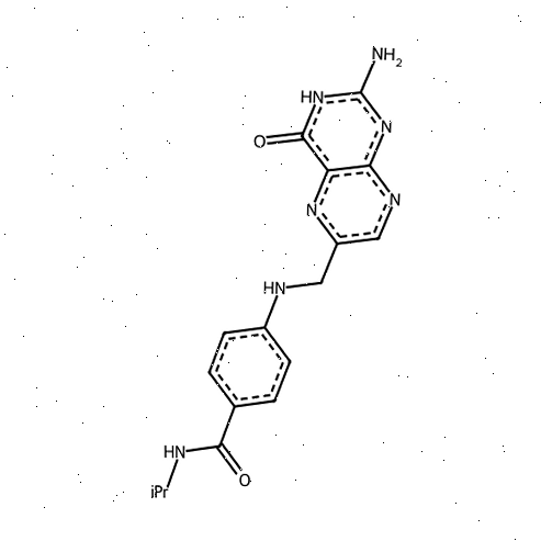 CC(C)NC(=O)c1ccc(NCc2cnc3nc(N)[nH]c(=O)c3n2)cc1